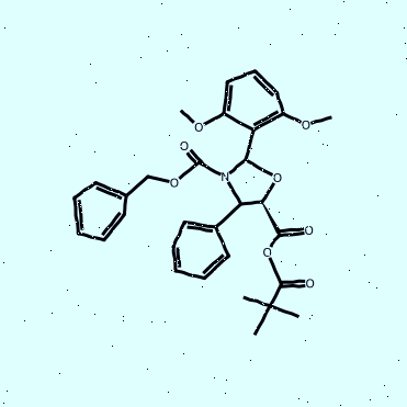 COc1cccc(OC)c1C1O[C@@H](C(=O)OC(=O)C(C)(C)C)C(c2ccccc2)N1C(=O)OCc1ccccc1